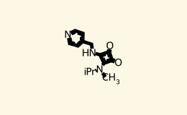 CC(C)N(C)c1c(NCc2ccncc2)c(=O)c1=O